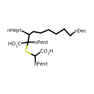 CCCCCCCCCCCCCCCCC(CCCCCCC)C(CCCCC)(SC(CCCCC)C(=O)O)C(=O)O